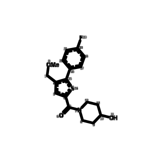 COCc1cc(C(=O)N2CCC(O)CC2)sc1-c1ccc(F)cc1